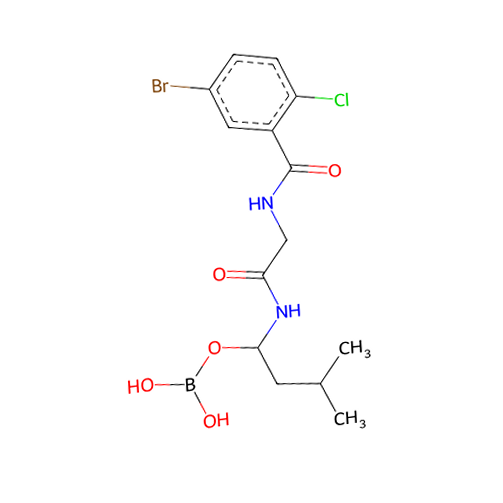 CC(C)CC(NC(=O)CNC(=O)c1cc(Br)ccc1Cl)OB(O)O